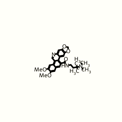 COc1cc2cc(C(=O)NCCC(C)(C)N(C)C)c3c4cc5c(cc4ncc3c2cc1OC)OCO5